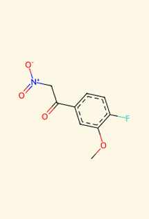 COc1cc(C(=O)C[N+](=O)[O-])ccc1F